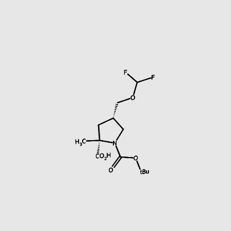 CC(C)(C)OC(=O)N1C[C@@H](COC(F)F)C[C@@]1(C)C(=O)O